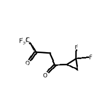 O=C(CC(=O)C(F)(F)F)C1CC1(F)F